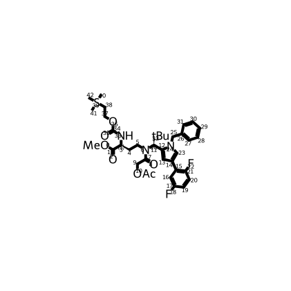 COC(=O)[C@H](CCN(C(=O)COC(C)=O)[C@@H](c1cc(-c2cc(F)ccc2F)cn1Cc1ccccc1)C(C)(C)C)NC(=O)OCCS(C)(C)C